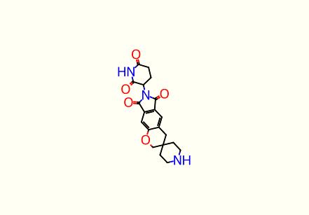 O=C1CCC(N2C(=O)c3cc4c(cc3C2=O)OCC2(CCNCC2)C4)C(=O)N1